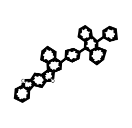 c1ccc(-c2c3ccccc3c(-c3ccc(-c4cc5oc6cc7c(cc6c5c5ccccc45)oc4ccccc47)cc3)c3ccccc23)cc1